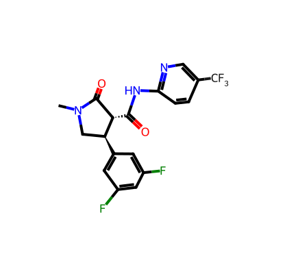 CN1C[C@H](c2cc(F)cc(F)c2)[C@@H](C(=O)Nc2ccc(C(F)(F)F)cn2)C1=O